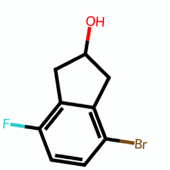 OC1Cc2c(F)ccc(Br)c2C1